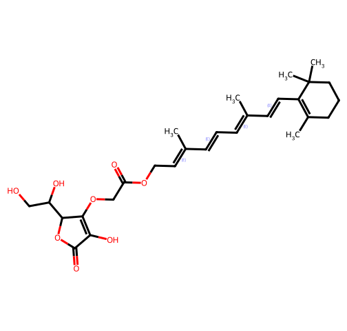 CC1=C(/C=C/C(C)=C/C=C/C(C)=C/COC(=O)COC2=C(O)C(=O)OC2C(O)CO)C(C)(C)CCC1